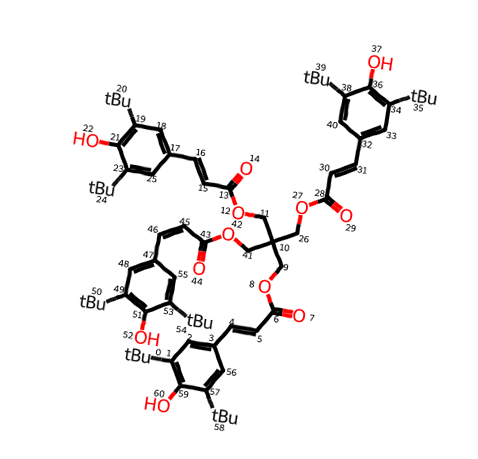 CC(C)(C)c1cc(C=CC(=O)OCC(COC(=O)C=Cc2cc(C(C)(C)C)c(O)c(C(C)(C)C)c2)(COC(=O)C=Cc2cc(C(C)(C)C)c(O)c(C(C)(C)C)c2)COC(=O)C=Cc2cc(C(C)(C)C)c(O)c(C(C)(C)C)c2)cc(C(C)(C)C)c1O